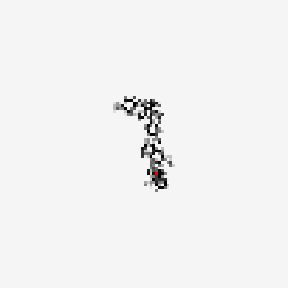 COc1cc2c(Oc3ccc(NC(=O)C4(C(=O)Nc5ccc(F)cc5)CC4)cc3)ccnc2cc1OC(=O)N1C2CC[C@@H]1CN(C)C2